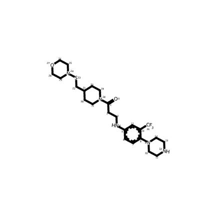 O=C(CCNc1ccc(N2CCNCC2)c(C(F)(F)F)c1)N1CCC(CSN2CCOCC2)CC1